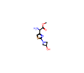 COC(=O)C(N)c1csc(N2CC(O)C2)n1